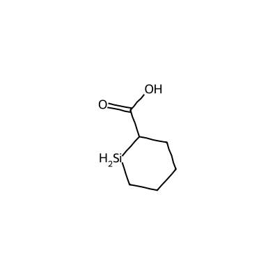 O=C(O)C1CCCC[SiH2]1